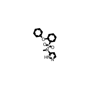 CN(c1ccn[nH]1)S(=O)(=O)c1ccccc1Oc1ccccc1